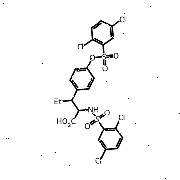 CCC(c1ccc(OS(=O)(=O)c2cc(Cl)ccc2Cl)cc1)C(NS(=O)(=O)c1cc(Cl)ccc1Cl)C(=O)O